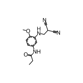 CCC(=O)Nc1ccc(OC)c(NCC(C#N)C#N)c1